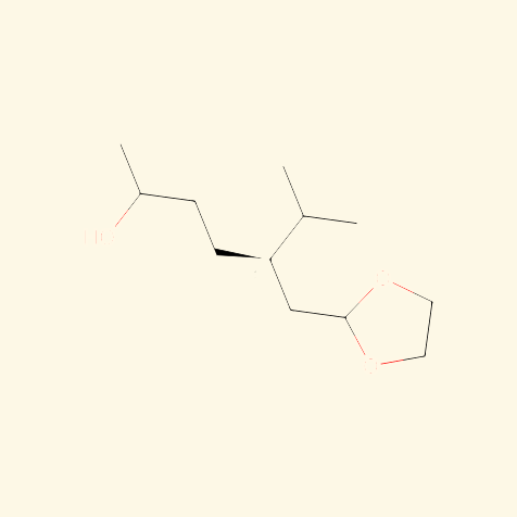 CC(O)CC[C@H](CC1OCCO1)C(C)C